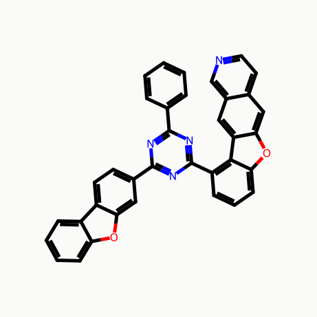 c1ccc(-c2nc(-c3ccc4c(c3)oc3ccccc34)nc(-c3cccc4oc5cc6ccncc6cc5c34)n2)cc1